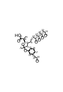 [CH2]C(CCCC)(OC=C(C)C(=O)O)Oc1ccccc1.[CH2]C[O].[CH2]C[O].[CH2]C[O].[CH2]C[O].[CH2]C[O]